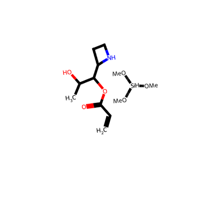 C=CC(=O)OC(C(C)O)C1CCN1.CO[SiH](OC)OC